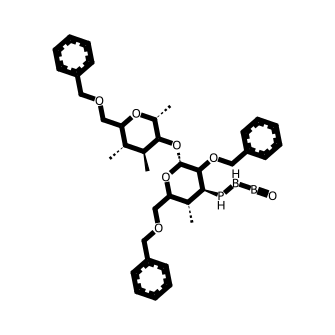 C[C@@H]1C(COCc2ccccc2)O[C@H](C)C(O[C@H]2OC(COCc3ccccc3)[C@@H](C)[C@H](PBB=O)C2OCc2ccccc2)[C@H]1C